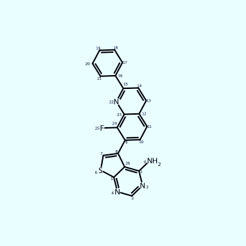 Nc1ncnc2scc(-c3ccc4ccc(-c5ccccc5)nc4c3F)c12